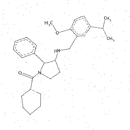 COc1ccc(C(C)C)cc1CNC1CCN(C(=O)C2CCCCC2)C1c1ccccc1